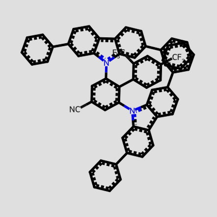 N#Cc1cc(-n2c3cc(-c4ccccc4)ccc3c3ccc(-c4ccccc4)cc32)c(-c2ccc(C(F)(F)F)cc2C(F)(F)F)c(-n2c3cc(-c4ccccc4)ccc3c3ccc(-c4ccccc4)cc32)c1